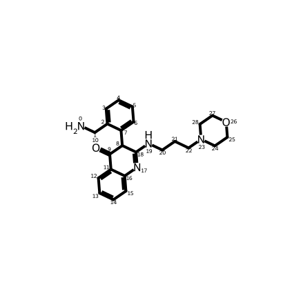 NCc1ccccc1C1C(=O)c2ccccc2N=C1NCCCN1CCOCC1